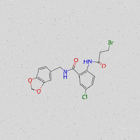 O=C(CCBr)Nc1ccc(Cl)cc1C(=O)NCc1ccc2c(c1)OCO2